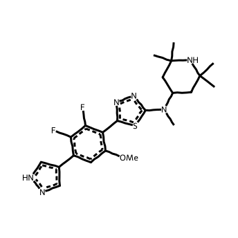 COc1cc(-c2cn[nH]c2)c(F)c(F)c1-c1nnc(N(C)C2CC(C)(C)NC(C)(C)C2)s1